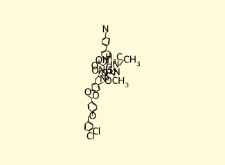 Cc1nc(NCC(C)C)sc1S(=O)(=O)N1Cc2cc3c(cc2C[C@H]1C(=O)NC(Cc1ccc(-c2ccc(C#N)cc2)cc1)C(=O)O)OC[C@H](c1ccc(OCc2ccc(Cl)c(Cl)c2)cc1)O3